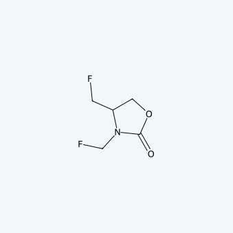 O=C1OCC(CF)N1CF